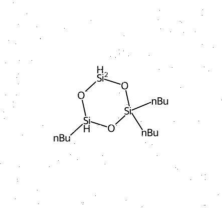 CCCC[SiH]1O[SiH2]O[Si](CCCC)(CCCC)O1